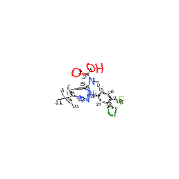 CN(C(=O)O)c1cc(C(C)(C)C)nn1-c1ccc(F)c(Cl)c1